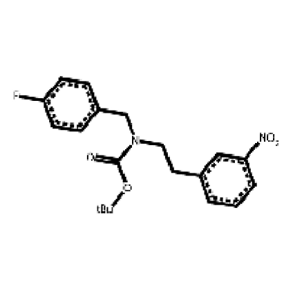 CC(C)(C)OC(=O)N(CCc1cccc([N+](=O)[O-])c1)Cc1ccc(F)cc1